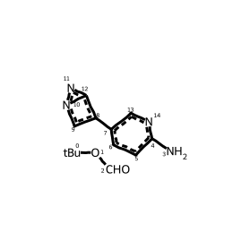 CC(C)(C)OC=O.Nc1ccc(-c2cn3nc2-3)cn1